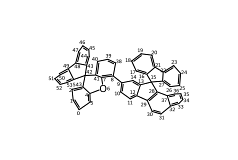 c1ccc2c(c1)Oc1c(-c3ccc4c(c3)C3(c5ccccc5-c5ccccc53)c3c-4ccc4ccccc34)cccc1C21c2ccccc2-c2ccccc21